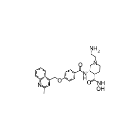 Cc1cc(COc2ccc(C(=O)N[C@@H]3CN(CCN)CC[C@@H]3C(=O)NO)cc2)c2ccccc2n1